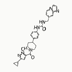 Cn1nc(C2CC2)cc1C(=O)N1CCC(c2ccc(NC(=O)NCc3ccn4ccnc4c3)cc2)CC1